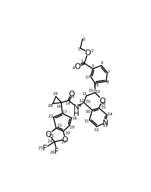 CCOC(=O)c1cccc([C@@H]2C[C@H](NC(=O)C3(c4ccc5c(c4)OC(F)(F)O5)CC3)c3ccncc3O2)c1